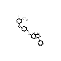 FC(F)(F)c1cc(Oc2ccc(COc3ccn4c(-c5cncnc5)nnc4n3)cc2)ccc1Cl